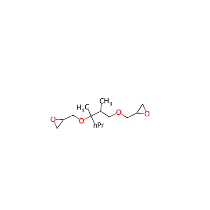 CCCC(C)(OCC1CO1)C(C)COCC1CO1